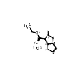 CCOC(=O)C1NCC2CCCC21.Cl